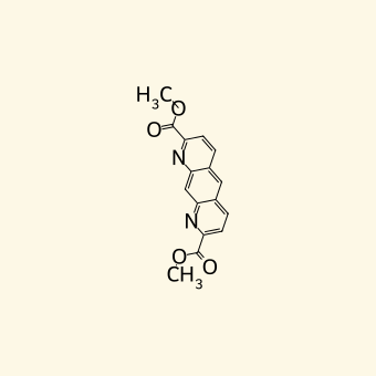 COC(=O)c1ccc2cc3ccc(C(=O)OC)nc3cc2n1